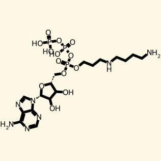 NCCCCNCCCOP(=O)(OC[C@H]1O[C@@H](n2cnc3c(N)ncnc32)C(O)C1O)OP(=O)(O)OP(=O)(O)O